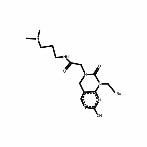 CN(C)CCCNC(=O)CN1Cc2cnc(C#N)nc2N(CC(C)(C)C)C1=O